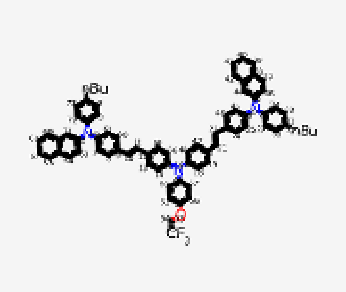 CCCCc1ccc(N(c2ccc(/C=C/c3ccc(N(c4ccc(/C=C/c5ccc(N(c6ccc(CCCC)cc6)c6ccc7ccccc7c6)cc5)cc4)c4ccc(OCC(F)(F)F)cc4)cc3)cc2)c2ccc3ccccc3c2)cc1